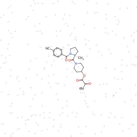 CC(C)(C)C(=O)C(=O)OC1CCN(C(=O)[C@]2(C)CCCN2C(=O)c2ccc(C#N)cc2)CC1